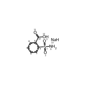 NS(=O)(=O)c1ccccc1C(=O)O.[NaH]